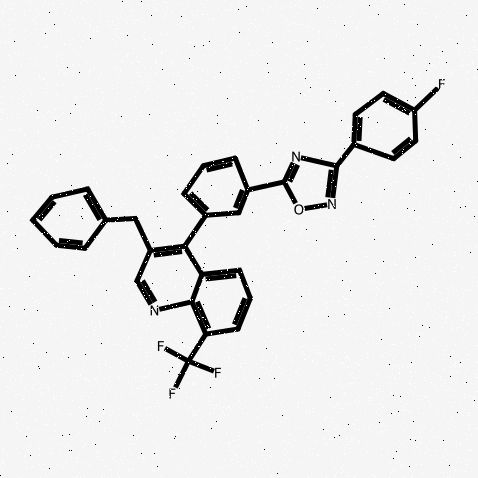 Fc1ccc(-c2noc(-c3cccc(-c4c(Cc5ccccc5)cnc5c(C(F)(F)F)cccc45)c3)n2)cc1